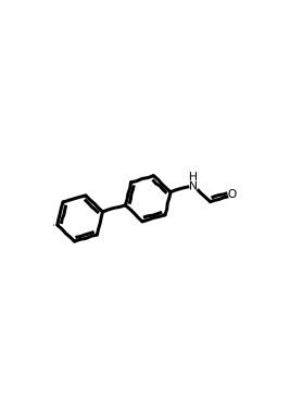 O=CNc1ccc(-c2cc[c]cc2)cc1